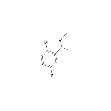 COC(C)c1cc(F)ccc1Br